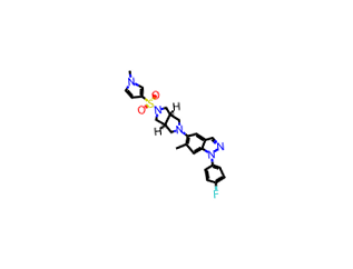 Cc1cc2c(cnn2-c2ccc(F)cc2)cc1N1C[C@@H]2CN(S(=O)(=O)c3ccn(C)c3)C[C@@H]2C1